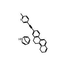 C1=CC2=CC=C(CC2)N1.Cc1ccc(C#Cc2ccc3c(c2)CCc2c-3ccc3c2CCC=C3)cn1